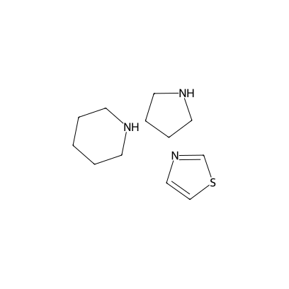 C1CCNC1.C1CCNCC1.c1cscn1